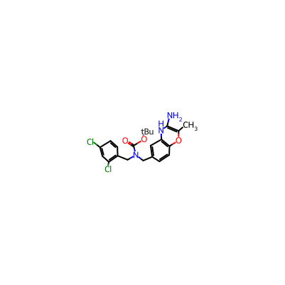 CC1=C(N)Nc2cc(CN(Cc3ccc(Cl)cc3Cl)C(=O)OC(C)(C)C)ccc2O1